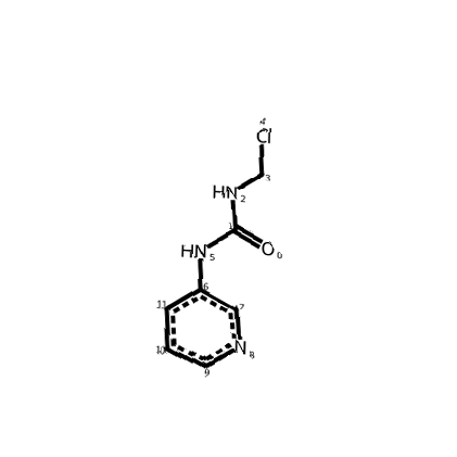 O=C(NCCl)Nc1[c]nccc1